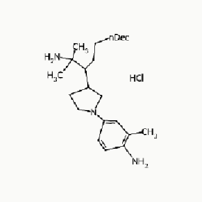 CCCCCCCCCCCCC(C1CCN(c2ccc(N)c(C)c2)C1)C(C)(C)N.Cl